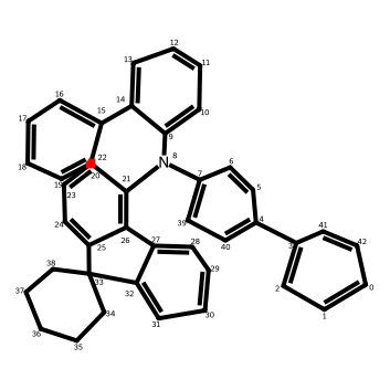 c1ccc(-c2ccc(N(c3ccccc3-c3ccccc3)c3cccc4c3-c3ccccc3C43CCCCC3)cc2)cc1